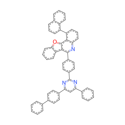 c1ccc(-c2ccc(-c3cc(-c4ccccc4)nc(-c4ccc(-c5nc6cccc(-c7cccc8ccccc78)c6c6oc7ccccc7c56)cc4)n3)cc2)cc1